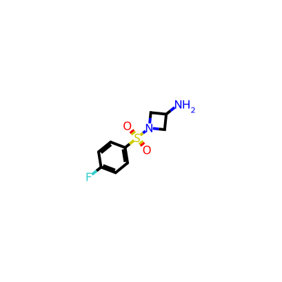 NC1CN(S(=O)(=O)c2ccc(F)cc2)C1